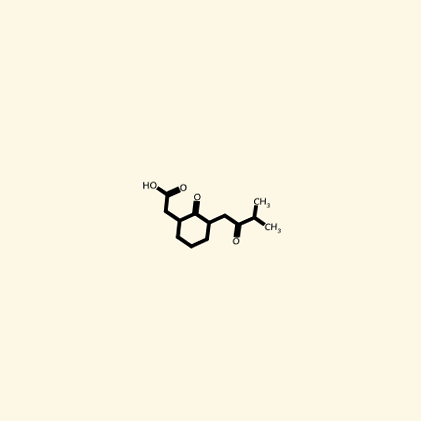 CC(C)C(=O)CC1CCCC(CC(=O)O)C1=O